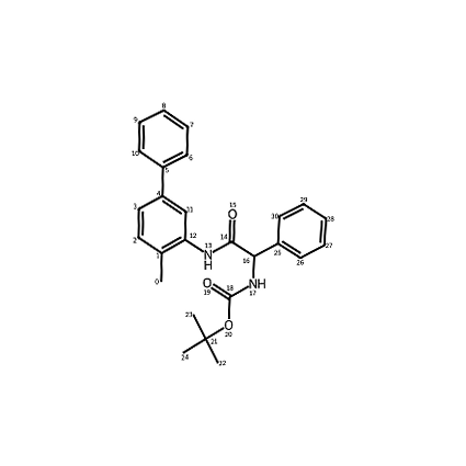 Cc1ccc(-c2ccccc2)cc1NC(=O)C(NC(=O)OC(C)(C)C)c1ccccc1